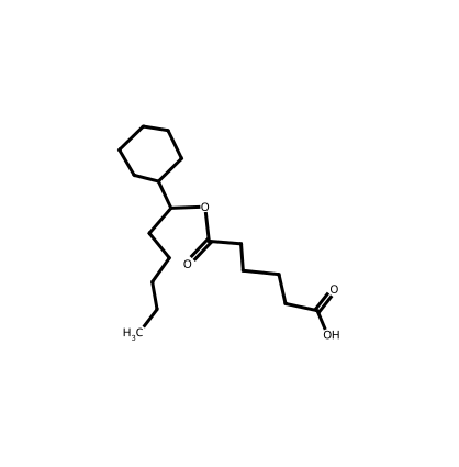 CCCCCC(OC(=O)CCCCC(=O)O)C1CCCCC1